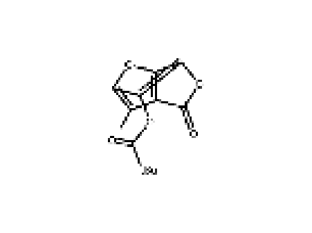 Cc1c2c3oc1c(OC(=O)C(C)(C)C)c3OC2=O